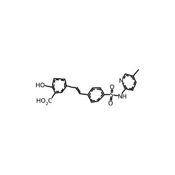 Cc1ccc(NS(=O)(=O)c2ccc(C=Cc3ccc(O)c(C(=O)O)c3)cc2)nc1